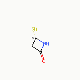 O=C1C[C@H](S)N1